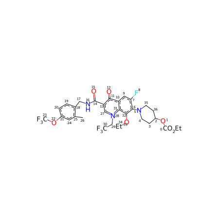 CCOC(=O)OC1CCN(c2c(F)cc3c(=O)c(C(=O)NCc4ccc(OC(F)(F)F)cc4C)cn(CC(F)(F)F)c3c2OCC)CC1